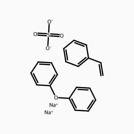 C=Cc1ccccc1.O=S(=O)([O-])[O-].[Na+].[Na+].c1ccc(Oc2ccccc2)cc1